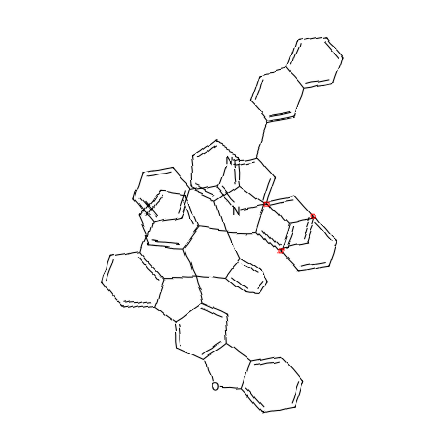 c1ccc(-c2cc(-c3ccc4ccccc4c3)nc(-c3cccc(-c4cccc5c4C4(c6cc7c(cc6-5)oc5ccccc57)c5ccccc5C5(c6ccccc6-c6ccccc65)c5ccccc54)c3)n2)cc1